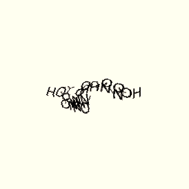 CCNC(=O)c1nnc(-c2cc(C(C)C)c(O)cc2O)n1-c1ccc(Oc2ccc(C(=O)NCCN(C)C(=O)O)cc2)cc1